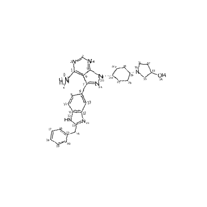 Nc1ncnc2c1c(-c1ccc3[nH]c(Cc4ccccc4)nc3c1)nn2[C@H]1CC[C@@H](N2CCC(O)C2)CC1